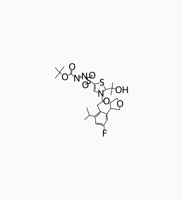 CC(C)c1cc(F)cc(C2CCOC2)c1CC(=O)N1C=C(S(=O)(=O)N=NC(=O)OC(C)(C)C)SC1C(C)(C)O